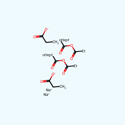 CCC(=O)[O-].CCC(=O)[O-].CCCCCCCC(=O)OC(=O)CC.CCCCCCCC(=O)OC(=O)CC.[Na+].[Na+]